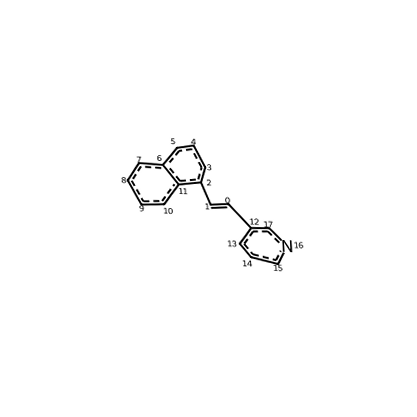 C(=Cc1cccc2ccccc12)c1cccnc1